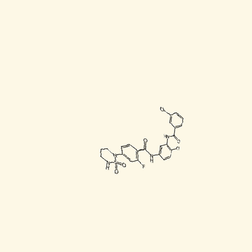 O=C(Nc1cc(NC(=O)c2ccc(N3CCCNS3(=O)=O)cc2F)ccc1Cl)c1cccc(Cl)c1